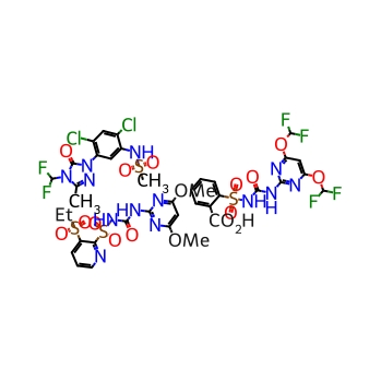 CCS(=O)(=O)c1cccnc1S(=O)(=O)NC(=O)Nc1nc(OC)cc(OC)n1.Cc1nn(-c2cc(NS(C)(=O)=O)c(Cl)cc2Cl)c(=O)n1C(F)F.O=C(Nc1nc(OC(F)F)cc(OC(F)F)n1)NS(=O)(=O)c1ccccc1C(=O)O